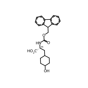 O=C(N[C@H](CC1CCC(O)CC1)C(=O)O)OCC1c2ccccc2-c2ccccc21